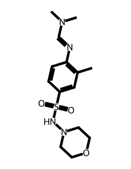 Cc1cc(S(=O)(=O)NN2CCOCC2)ccc1/N=C/N(C)C